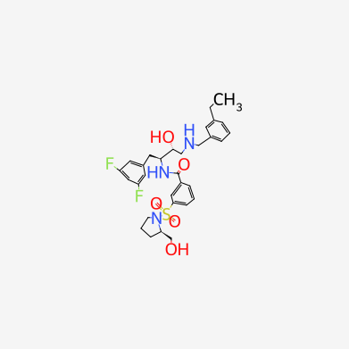 CCc1cccc(CNC[C@@H](O)[C@H](Cc2cc(F)cc(F)c2)NC(=O)c2cccc(S(=O)(=O)N3CCC[C@@H]3CO)c2)c1